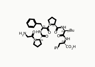 CC[C@H](C)[C@H](NC(=O)[C@@H]1CCCN1C(=O)[C@H](Cc1ccccc1)NC(=O)[C@@H]1CCCN1C(=O)CN)C(=O)N[C@@H](CC(C)C)C(=O)O